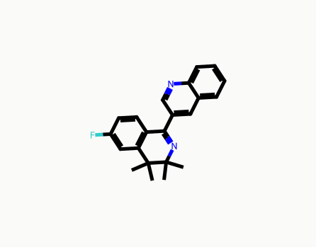 CC1(C)N=C(c2cnc3ccccc3c2)c2ccc(F)cc2C1(C)C